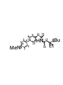 C=C(/C=C\C(=C/C)c1ccc(CC(=C)NC(=C)/C=C(\CC)C(C)(C)C)cc1)NC